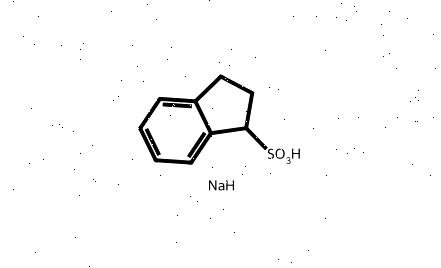 O=S(=O)(O)C1CCc2ccccc21.[NaH]